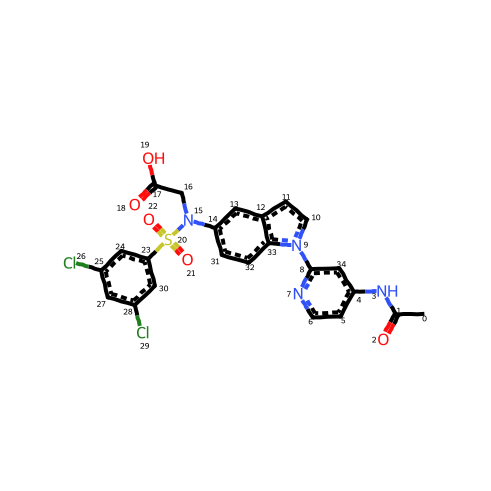 CC(=O)Nc1ccnc(-n2ccc3cc(N(CC(=O)O)S(=O)(=O)c4cc(Cl)cc(Cl)c4)ccc32)c1